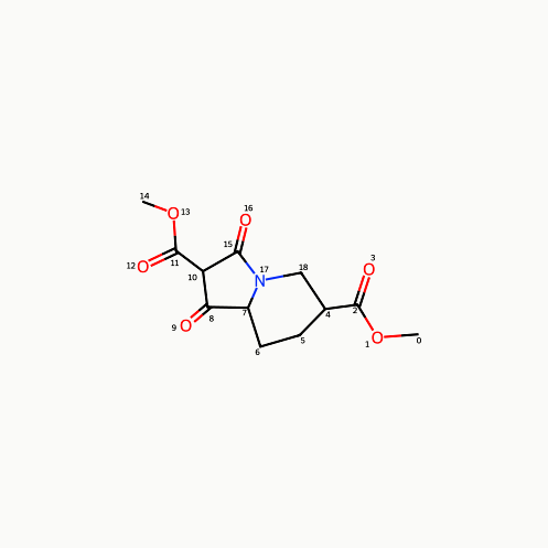 COC(=O)C1CCC2C(=O)C(C(=O)OC)C(=O)N2C1